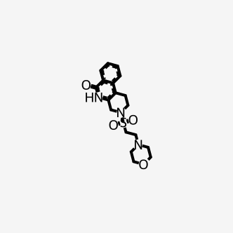 O=c1[nH]c2c(c3ccccc13)CCN(S(=O)(=O)CCN1CCOCC1)C2